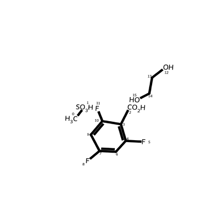 CS(=O)(=O)O.O=C(O)c1c(F)cc(F)cc1F.OCCO